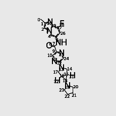 Cc1cn2cc(NC(=O)c3cnc(N4C[C@@H]5[C@H](C4)[C@@H]5N4CCCC4)cn3)cc(F)c2n1